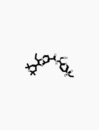 CCc1c(C2=CC(C)(C)OC(C)(C)C2)nc2cc(C(=O)N[C@@H](CO)c3ccc(S(=O)(=O)CC)cn3)ccn12